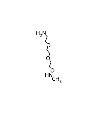 CNOCCOCCOCCN